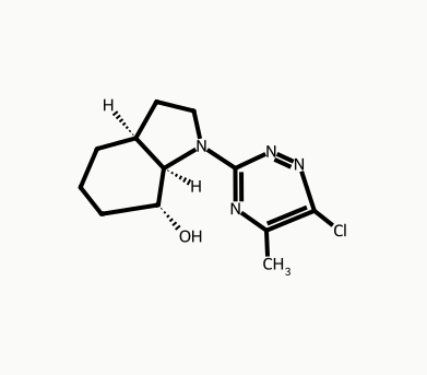 Cc1nc(N2CC[C@@H]3CCC[C@@H](O)[C@@H]32)nnc1Cl